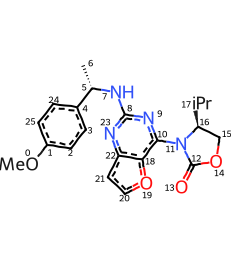 COc1ccc([C@H](C)Nc2nc(N3C(=O)OC[C@@H]3C(C)C)c3occc3n2)cc1